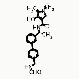 C=C1C(O)=C(C(=O)N[C@H](C)c2cccc(-c3ccc(CNC=O)cc3)c2)CN1C